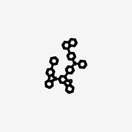 c1ccc(-c2ccc3c4ccccc4n(-c4cc(-c5ccc(N(c6ccccc6)c6ccc(-c7cccc8ccccc78)cc6)cc5)c5oc6ccccc6c5c4)c3c2)cc1